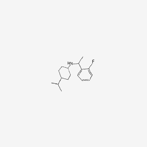 CC(NC1CCC(C(C)C)CC1)c1ccccc1F